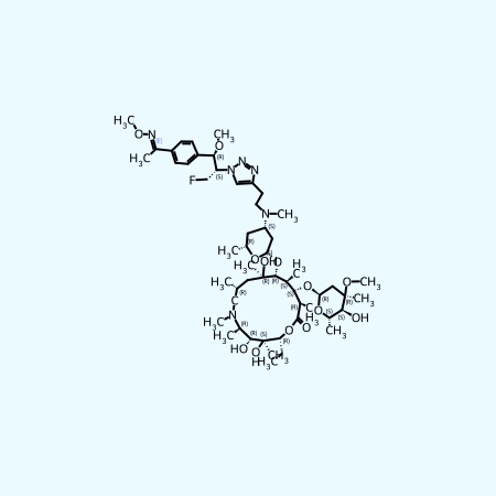 CC[C@H]1OC(=O)[C@H](C)[C@@H](O[C@H]2C[C@@](C)(OC)[C@@H](O)[C@H](C)O2)[C@H](C)[C@@H](O[C@H]2C[C@@H](N(C)CCc3cn([C@H](CF)[C@H](OC)c4ccc(/C(C)=N/OC)cc4)nn3)C[C@@H](C)O2)[C@](C)(O)C[C@@H](C)CN(C)[C@H](C)[C@@H](O)[C@]1(C)O